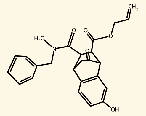 C=CCOC(=O)C1C2C(=O)CC(c3ccc(O)cc32)C1C(=O)N(C)Cc1ccccc1